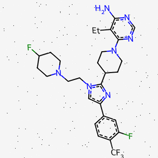 CCc1c(N)ncnc1N1CCC(c2nc(-c3ccc(C(F)(F)F)c(F)c3)cn2CCN2CCC(F)CC2)CC1